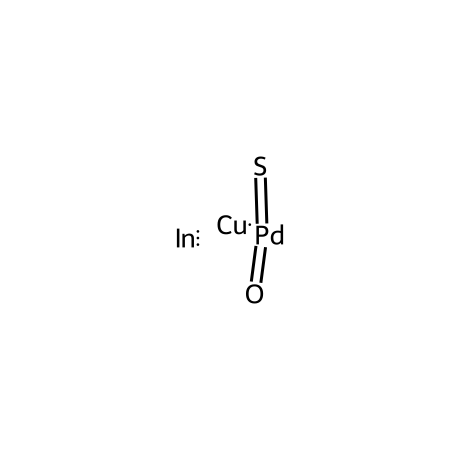 [Cu].[In].[O]=[Pd]=[S]